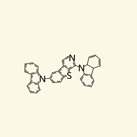 C1=CC2c3ccccc3N(c3nccc4c3sc3ccc(-n5c6ccccc6c6ccccc65)cc34)C2C=C1